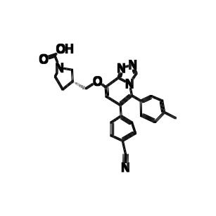 Cc1ccc(-c2c(-c3ccc(C#N)cc3)cc(OC[C@@H]3CCN(C(=O)O)C3)c3nncn23)cc1